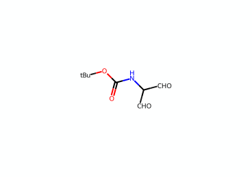 CC(C)(C)OC(=O)NC(C=O)C=O